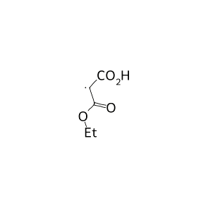 CCOC(=O)[CH]C(=O)O